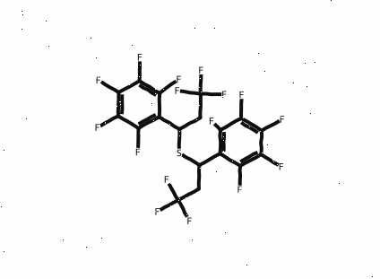 Fc1c(F)c(F)c(C(CC(F)(F)F)SC(CC(F)(F)F)c2c(F)c(F)c(F)c(F)c2F)c(F)c1F